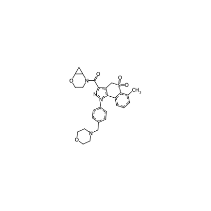 Cc1cccc2c1S(=O)(=O)Cc1c(C(=O)N3CCOC4CC43)nn(-c3ccc(CN4CCOCC4)cc3)c1-2